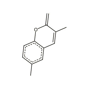 C=C1Oc2ccc(C)cc2C=C1C